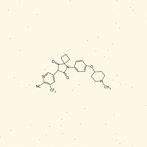 CN1CCC(Oc2ccc(N3C(=O)C(c4cnc(C#N)c(C(F)(F)F)c4)C(=O)C34CCC4)cc2)CC1